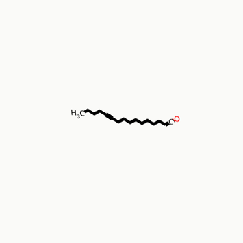 CCCCC#CCCCCCCCCC=C=O